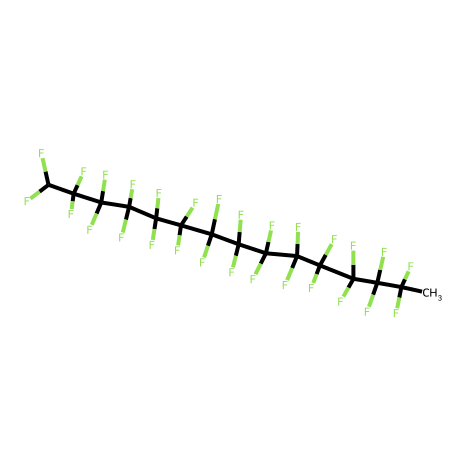 CC(F)(F)C(F)(F)C(F)(F)C(F)(F)C(F)(F)C(F)(F)C(F)(F)C(F)(F)C(F)(F)C(F)(F)C(F)(F)C(F)(F)C(F)(F)[C](F)F